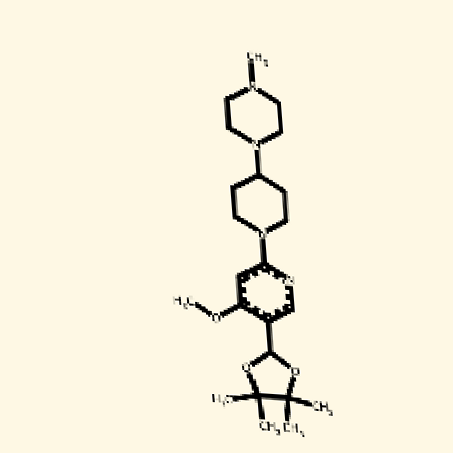 COc1cc(N2CCC(N3CCN(C)CC3)CC2)ncc1C1OC(C)(C)C(C)(C)O1